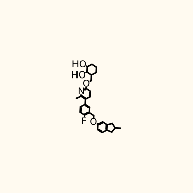 Cc1nc(OCC2CCCC(O)C2O)ccc1-c1ccc(F)c(COc2ccc3c(c2)CC(C)C3)c1